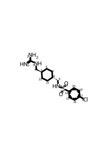 N=C(N)NC[C@H]1CC[C@H](CNS(=O)(=O)c2ccc(Cl)cc2)CC1